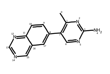 Cc1nc(N)ncc1-c1ccc2ncncc2c1